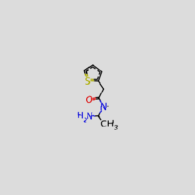 CC(N)[N]C(=O)Cc1cccs1